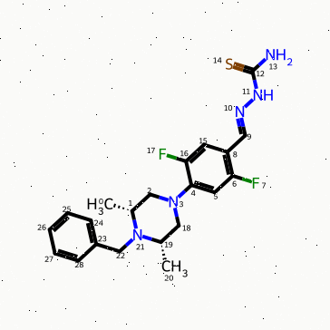 C[C@@H]1CN(c2cc(F)c(C=NNC(N)=S)cc2F)C[C@H](C)N1Cc1ccccc1